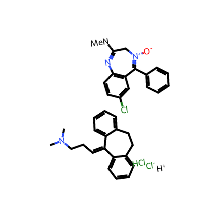 CN(C)CCC=C1c2ccccc2CCc2ccccc21.CNC1=Nc2ccc(Cl)cc2C(c2ccccc2)=[N+]([O-])C1.Cl.[Cl-].[H+]